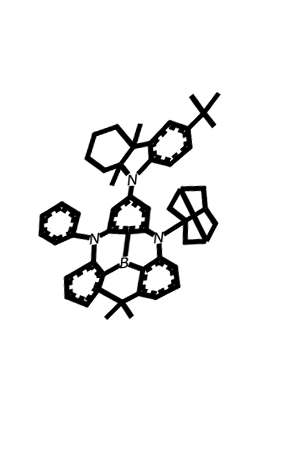 CC(C)(C)c1ccc2c(c1)C1(C)CCCCC1(C)N2c1cc2c3c(c1)N(C14CC5CC1CC5C4)c1cccc4c1B3c1c(cccc1C4(C)C)N2c1ccccc1